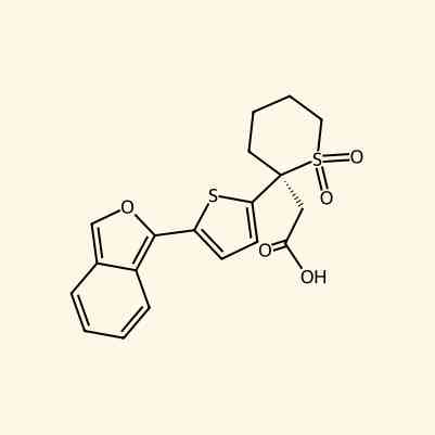 O=C(O)C[C@]1(c2ccc(-c3occ4ccccc34)s2)CCCCS1(=O)=O